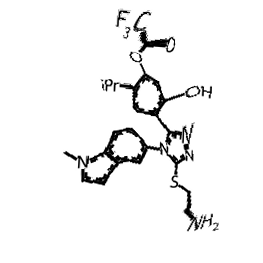 CC(C)c1cc(-c2nnc(SCCN)n2-c2ccc3c(ccn3C)c2)c(O)cc1OC(=O)C(F)(F)F